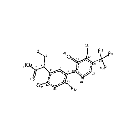 CCC(C(O)=S)c1cc(-n2ncc(C(F)(F)F)c(C)c2=O)c(F)cc1Cl